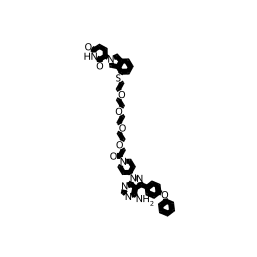 Nc1ncnc2c1c(-c1ccc(Oc3ccccc3)cc1)nn2C1CCN(C(=O)COCCOCCOCCOCCSc2cccc3c2CN(C2CCC(=O)NC2=O)C3)CC1